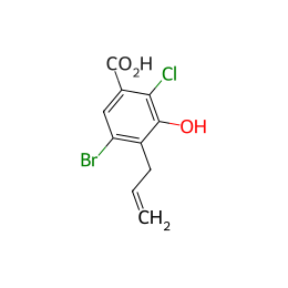 C=CCc1c(Br)cc(C(=O)O)c(Cl)c1O